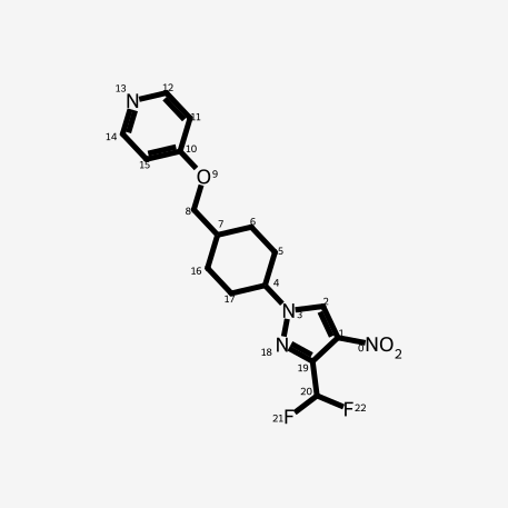 O=[N+]([O-])c1cn(C2CCC(COc3ccncc3)CC2)nc1C(F)F